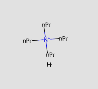 CCC[N+](CCC)(CCC)CCC.[H]